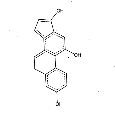 OC1=CC=c2c1cc(O)c1c2=CCc2cc(O)ccc2-1